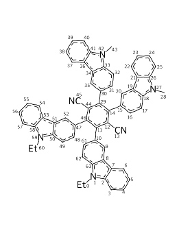 CCn1c2ccccc2c2cc(-c3c(C#N)c(-c4ccc5c(c4)c4ccccc4n5C)c(-c4ccc5c(c4)c4ccccc4n5C)c(C#N)c3-c3ccc4c(c3)c3ccccc3n4CC)ccc21